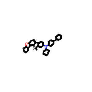 C[Si]1(C)c2cc(N(c3ccccc3)c3ccc(-c4ccccc4)cc3)ccc2-c2ccc3oc4ccccc4c3c21